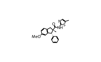 COc1ccc2c(c1)[C@@H](c1ccccc1)[C@@](C)(C(=O)Nc1ncc(C)s1)C2